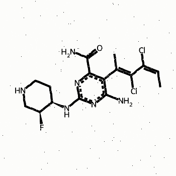 C/C=C(Cl)\C(Cl)=C(/C)c1c(N)nc(N[C@@H]2CCNC[C@@H]2F)nc1C(N)=O